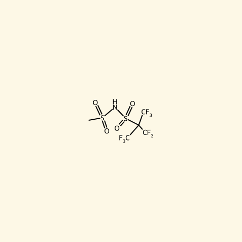 CS(=O)(=O)NS(=O)(=O)C(C(F)(F)F)(C(F)(F)F)C(F)(F)F